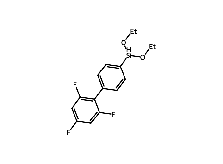 CCO[SiH](OCC)c1ccc(-c2c(F)cc(F)cc2F)cc1